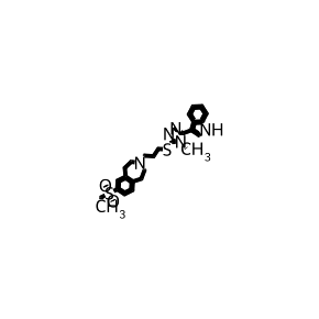 CCS(=O)(=O)c1ccc2c(c1)CCN(CCCSc1nnc(-c3c[nH]c4ccccc34)n1C)CC2